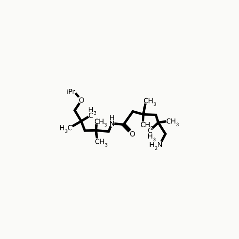 CC(C)OCC(C)(C)CC(C)(C)CNC(=O)CC(C)(C)CC(C)(C)CN